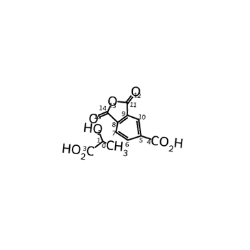 CC(O)C(=O)O.O=C(O)c1ccc2c(c1)C(=O)OC2=O